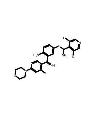 N=C(c1cc(O[C@H](N)c2c(Cl)cncc2Cl)ccc1N)c1cnc(N2CCSCC2)cc1F